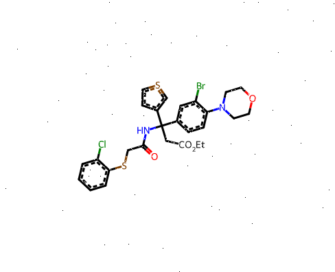 CCOC(=O)CC(NC(=O)CSc1ccccc1Cl)(c1ccsc1)c1ccc(N2CCOCC2)c(Br)c1